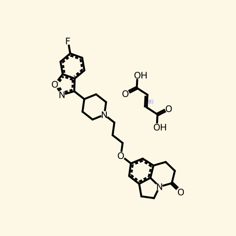 O=C(O)/C=C/C(=O)O.O=C1CCc2cc(OCCCN3CCC(c4noc5cc(F)ccc45)CC3)cc3c2N1CC3